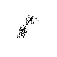 C=C(C)C(=O)OCOC(=O)C(F)(F)S(=O)(=O)CO